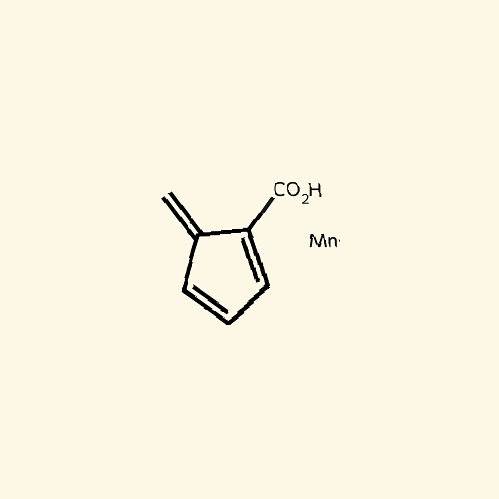 C=C1C=CC=C1C(=O)O.[Mn]